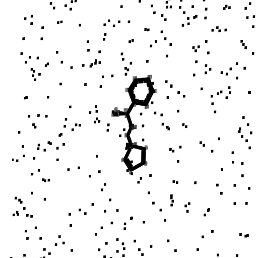 N#C[C@H](OC[SH]1C=CC=C1)c1ccccc1